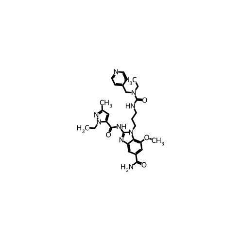 CCN(Cc1ccncc1)C(=O)NCCCn1c(NC(=O)c2cc(C)nn2CC)nc2cc(C(N)=O)cc(OC)c21